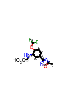 Cc1nc(-c2ccc(OC(F)F)c(NCC(=O)O)c2)no1